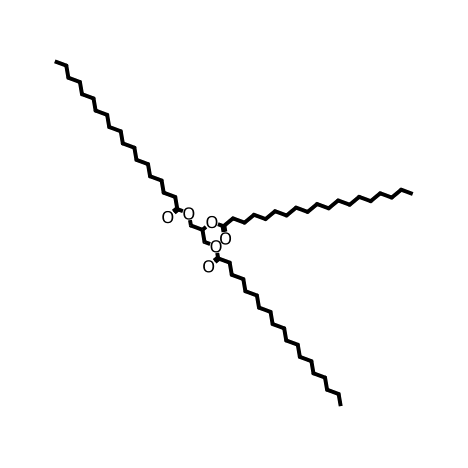 CCCCCCCCCCCCCCCCCCC(=O)OCC(COC(=O)CCCCCCCCCCCCCCCCCC)OC(=O)CCCCCCCCCCCCCCCCCC